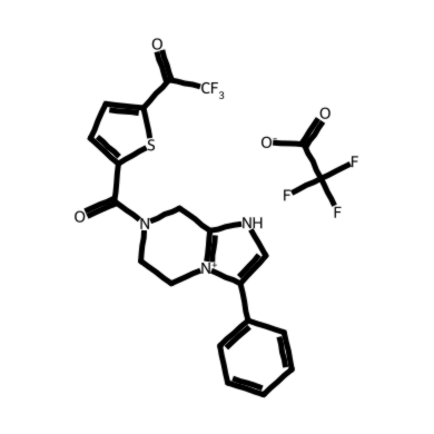 O=C([O-])C(F)(F)F.O=C(c1ccc(C(=O)C(F)(F)F)s1)N1CC[n+]2c(-c3ccccc3)c[nH]c2C1